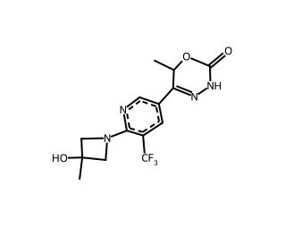 CC1OC(=O)NN=C1c1cnc(N2CC(C)(O)C2)c(C(F)(F)F)c1